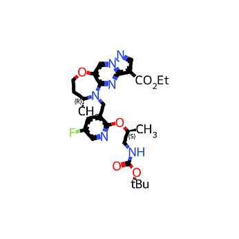 CCOC(=O)c1cnn2cc3c(nc12)N(Cc1cc(F)cnc1O[C@@H](C)CNC(=O)OC(C)(C)C)[C@H](C)CCO3